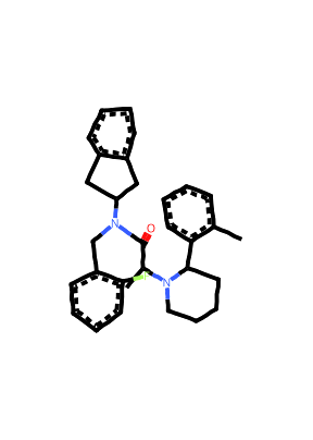 Cc1ccccc1C1CCCCN1C(C)C(=O)N(Cc1ccccc1F)C1Cc2ccccc2C1